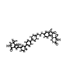 Cn1c(=O)n(C2CCC(=O)NC2=O)c2ccc(CCCN3CCN(c4ccc(-c5cc(-c6cc7c([nH]6)C6(CC6)CNC7=O)ccn5)cc4)CC3)cc21